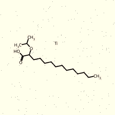 CCCCCCCCCCCCC(OC(C)C)C(=O)O.[Ti]